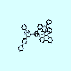 CC1(C)c2c(c3ccccc3c3ccccc23)-c2ccc3c4ccccc4n(-c4cccc(-c5cccc(-c6cc(-c7ccc(-c8ccccc8)cc7)nc(-c7ccccc7)n6)c5)c4)c3c21